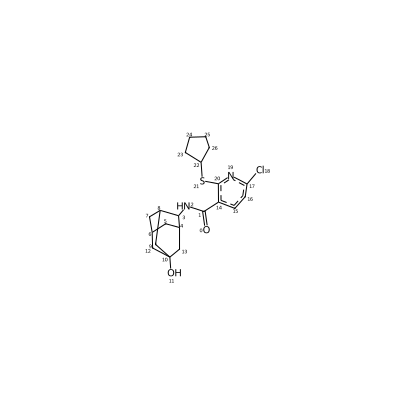 O=C(NC1C2CC3CC1CC(O)(C3)C2)c1ccc(Cl)nc1SC1CCCC1